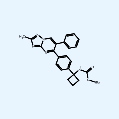 Cc1nc2nc(-c3ccc(C4(NC(=O)OC(C)(C)C)CCC4)cc3)c(-c3ccccc3)cn2n1